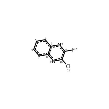 Fc1nc2ccccc2nc1Cl